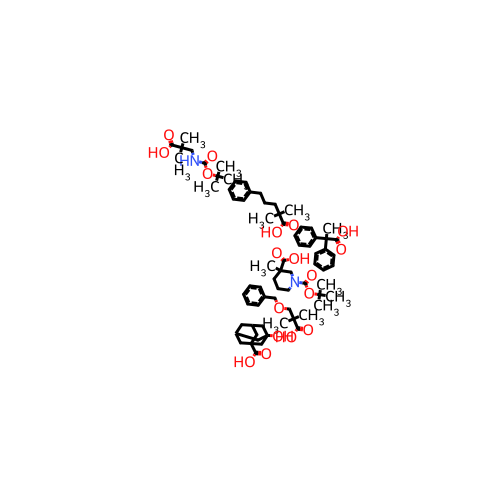 CC(C(=O)O)(c1ccccc1)c1ccccc1.CC(C)(C)OC(=O)N1CCCC(C)(C(=O)O)C1.CC(C)(C)OC(=O)NCC(C)(C)C(=O)O.CC(C)(CCCc1ccccc1)C(=O)O.CC(C)(COCc1ccccc1)C(=O)O.O=C(O)C12CC3CC(CC(O)(C3)C1)C2